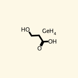 O=C(O)CCO.[GeH4]